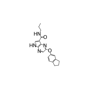 CCCNC(=O)c1c[nH]c2ncc(Oc3ccc4c(c3)CCC4)nc12